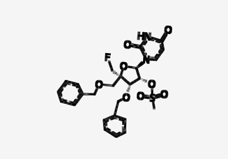 CS(=O)(=O)O[C@H]1[C@H](n2ccc(=O)[nH]c2=O)O[C@](CF)(COCc2ccccc2)[C@H]1OCc1ccccc1